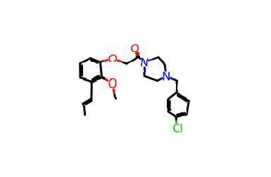 CC=Cc1cccc(OCC(=O)N2CCN(Cc3ccc(Cl)cc3)CC2)c1OC